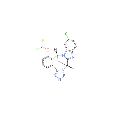 FC(F)Oc1cccc2c1[C@H]1C[C@H](c3nc4ccc(Cl)cc4n31)n1cnnc1-2